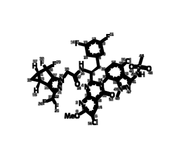 COc1nc2nc([C@H](Cc3cc(F)cc(F)c3)NC(=O)Cn3nc(C(F)F)c4c3C(F)(F)[C@H]3C[C@@H]43)n(-c3ccc(Cl)c4c(NS(C)(=O)=O)nn(C)c34)c(=O)c2cc1Cl